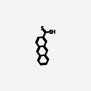 S=C(S)c1ccc2cc3ccccc3cc2c1